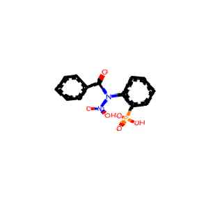 O=C(c1ccccc1)N(c1ccccc1P(=O)(O)O)[N+](=O)[O-]